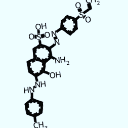 C=CS(=O)(=O)c1ccc(N=Nc2c(S(=O)(=O)O)cc3ccc(NNc4ccc(C)cc4)c(O)c3c2N)cc1